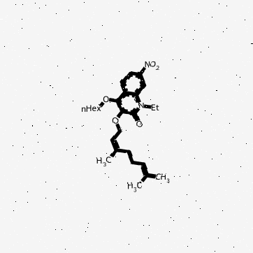 CCCCCCOc1c(OCC=C(C)CCC=C(C)C)c(=O)n(CC)c2cc([N+](=O)[O-])ccc12